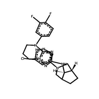 Fc1ccc(N2CCCn3nc(N[C@@H]4C5CC[C@H]4CN(c4cnnc(Cl)c4)C5)nc32)cc1F